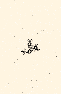 C=CC(=O)NCC1=CC2C(C=N1)CN(c1c(F)c(OC)cc(OC)c1F)C(=O)N2CC1CCN(C(=O)OC)CC1